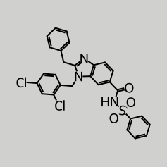 O=C(NS(=O)(=O)c1ccccc1)c1ccc2nc(Cc3ccccc3)n(Cc3ccc(Cl)cc3Cl)c2c1